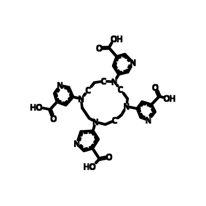 O=C(O)c1cncc(N2CCCN(c3cncc(C(=O)O)c3)CCN(c3cncc(C(=O)O)c3)CCCN(c3cncc(C(=O)O)c3)CC2)c1